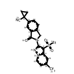 CCS(=O)(=O)c1c(N2Cc3ccc(C4(C#N)CC4)cc3C2=O)nn2ccc(C(F)(F)F)cc12